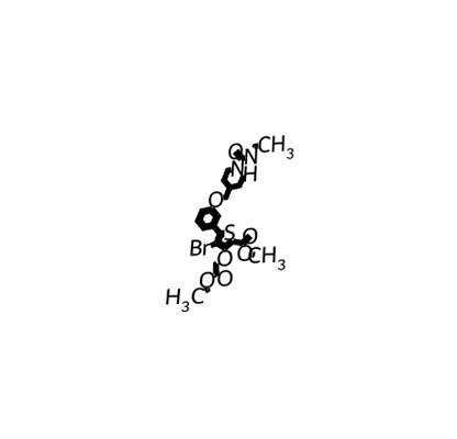 CCNC(=O)N1CCC(COc2cccc(-c3sc(C(=O)OC)c(OCC(=O)OCC)c3Br)c2)CC1